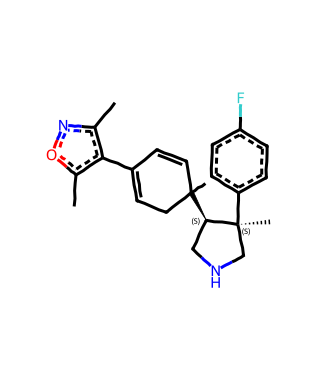 Cc1noc(C)c1C1=CCC(C)([C@@H]2CNC[C@]2(C)c2ccc(F)cc2)C=C1